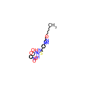 CCCCCCCOCc1cn(-c2ccc(-c3csc(N/N=C(\Cc4ccccc4[N+](=O)[O-])C(=O)O)n3)cc2)nn1